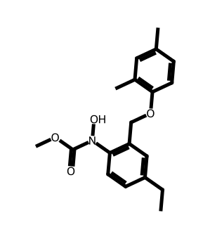 CCc1ccc(N(O)C(=O)OC)c(COc2ccc(C)cc2C)c1